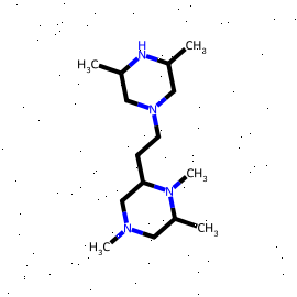 CC1CN(CCC2CN(C)CC(C)N2C)CC(C)N1